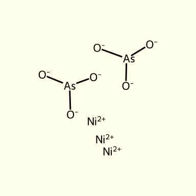 [Ni+2].[Ni+2].[Ni+2].[O-][As]([O-])[O-].[O-][As]([O-])[O-]